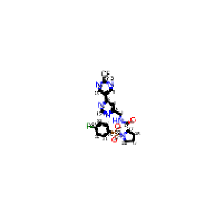 O=C(NCc1cc(-c2cnc(C(F)(F)F)nc2)ncn1)[C@@H]1CCCN1S(=O)(=O)c1ccc(F)cc1